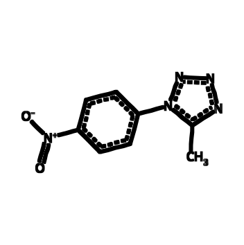 Cc1nnnn1-c1ccc([N+](=O)[O-])cc1